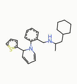 CC(CC1CCCCC1)NCc1ccccc1N1C=CC=CC1c1cccs1